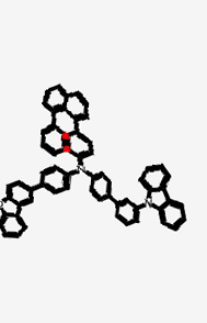 c1ccc(-c2cccc3cccc(-c4ccc(N(c5ccc(-c6cccc(-n7c8ccccc8c8ccccc87)c6)cc5)c5ccc(-c6ccc7oc8ccccc8c7c6)cc5)cc4)c23)cc1